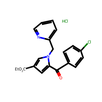 CCOC(=O)c1cc(C(=O)c2ccc(Cl)cc2)n(Cc2ccccn2)c1.Cl